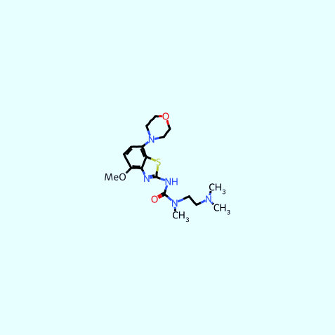 COc1ccc(N2CCOCC2)c2sc(NC(=O)N(C)CCN(C)C)nc12